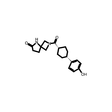 O=C1CCC2(CN(C(=O)[C@H]3CC[C@@H](c4ccc(O)cc4)CC3)C2)N1